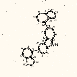 c1cc(-c2ccc3[nH]c4ccc(-c5cccc6sccc56)cc4c3c2)c2ccsc2c1